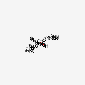 CC(C)n1cnc2cc(-c3ccc4c(c3)N(C3CC(N5CCCCC5)C3)C(=O)C43CCN(C(=O)C4C5C[C@H]4CN(C(=O)C4CCC(Oc6ccc(C7CCC(=O)NC7=O)cc6)CC4)C5)CC3)nc(NC3CC3)c21